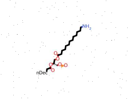 CCCCCCCCCCCC(=O)O[C@@H](COP=O)COC(=O)CCCCCCCCCCCCN